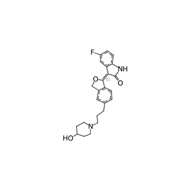 O=C1Nc2ccc(F)cc2/C1=C1\OCc2cc(CCCN3CCC(O)CC3)ccc21